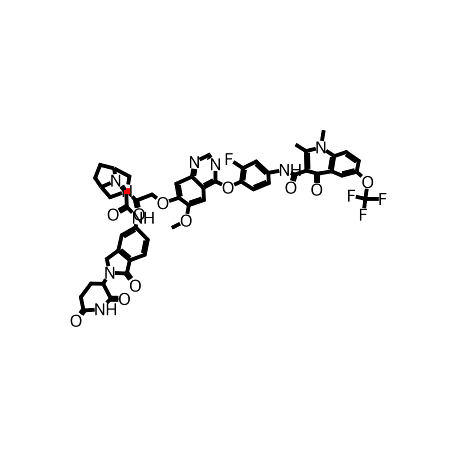 COc1cc2c(Oc3ccc(NC(=O)c4c(C)n(C)c5ccc(OC(F)(F)F)cc5c4=O)cc3F)ncnc2cc1OCC(=O)N1CC2CCC(C1)N2CC(=O)Nc1ccc2c(c1)CN(C1CCC(=O)NC1=O)C2=O